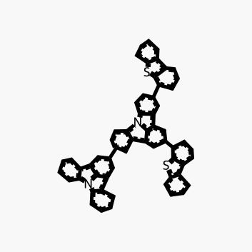 c1ccc2c(c1)sc1c(-c3ccc4c(c3)c3cc(-c5cccc6c5sc5ccccc56)cc5c6cc(-c7cc8c9ccccc9n9c%10ccccc%10c(c7)c89)ccc6n4c53)cccc12